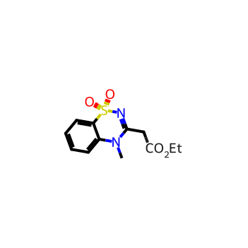 CCOC(=O)CC1=NS(=O)(=O)c2ccccc2N1C